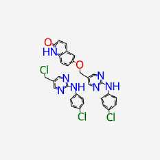 ClCc1cnc(Nc2ccc(Cl)cc2)nc1.O=c1ccc2cc(OCc3cnc(Nc4ccc(Cl)cc4)nc3)ccc2[nH]1